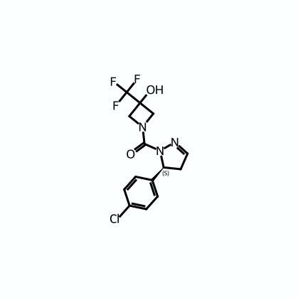 O=C(N1CC(O)(C(F)(F)F)C1)N1N=CC[C@H]1c1ccc(Cl)cc1